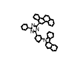 c1ccc(-c2nc(-c3cccc(-n4c5ccccc5c5c6ccccc6ccc54)c3)nc(-c3cc4c5ccccc5ccc4c4ccccc34)n2)cc1